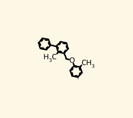 Cc1c[c]ccc1OCc1cccc(-c2ccccc2)c1C